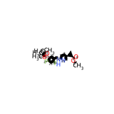 CCOC(=O)[C@H]1C[C@@H]1c1ccc(NCc2cc(B3OC(C)(C)C(C)(C)O3)c(F)cc2F)nc1